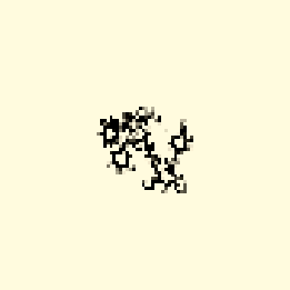 CC(C)(C)C(C[PH](=O)OCOCc1c(Cl)cc(Cl)cc1OCc1ccc(F)cc1)[C@H](O[SiH](c1ccccc1)c1ccccc1)C(=O)O